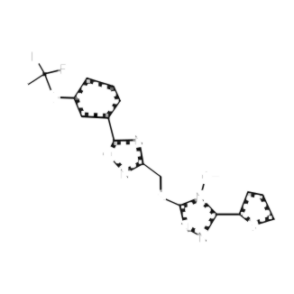 Cn1c(SCc2noc(-c3cccc(OC(F)(F)F)c3)n2)nnc1-c1cccs1